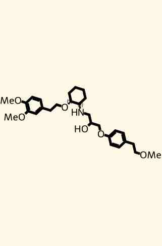 COCCc1ccc(OCC(O)CN[C@@H]2CCCC[C@@H]2OCCc2ccc(OC)c(OC)c2)cc1